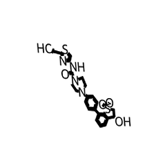 C#Cc1nc(NC(=O)N2CCN(c3ccc(-c4cccc5c4S(=O)(=O)CC5O)cc3)CC2)cs1